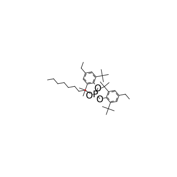 CCCCCCCCOP(Oc1c(C(C)(C)C)cc(CC)cc1C(C)(C)C)Oc1c(C(C)(C)C)cc(CC)cc1C(C)(C)C